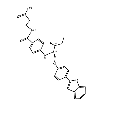 CC[C@H](C)[C@@H](COc1ccc(-c2cc3ccccc3o2)cc1)Nc1ccc(C(=O)NCCC(=O)O)cc1